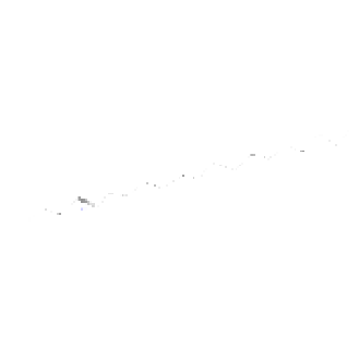 CCCCCCCCCCCCCCC/C=C/CCP